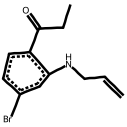 C=CCNc1cc(Br)ccc1C(=O)CC